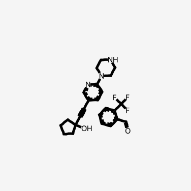 O=Cc1ccccc1C(F)(F)F.OC1(C#Cc2ccc(N3CCNCC3)nc2)CCCC1